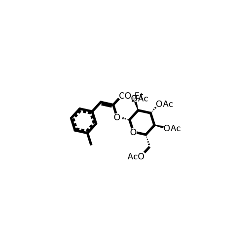 CCOC(=O)C(=Cc1cccc(C)c1)O[C@H]1O[C@@H](COC(C)=O)[C@H](OC(C)=O)[C@@H](OC(C)=O)[C@@H]1OC(C)=O